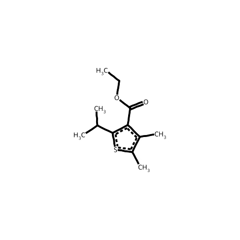 CCOC(=O)c1c(C(C)C)sc(C)c1C